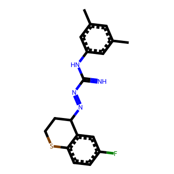 Cc1cc(C)cc(NC(=N)N=NC2CCSc3ccc(F)cc32)c1